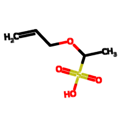 C=CCOC(C)S(=O)(=O)O